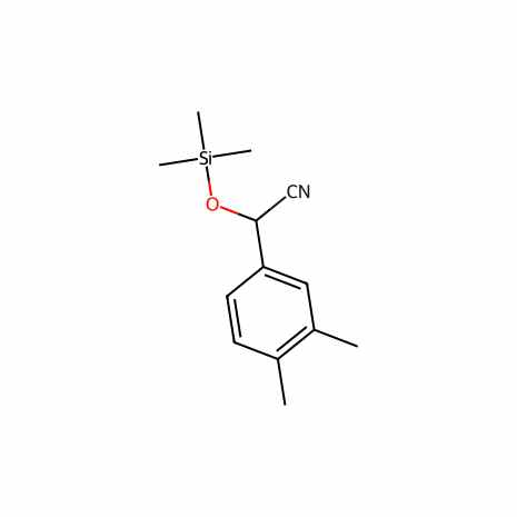 Cc1ccc(C(C#N)O[Si](C)(C)C)cc1C